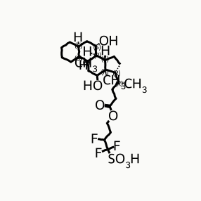 C[C@H](CCC(=O)OCCC(F)C(F)(F)S(=O)(=O)O)[C@H]1CC[C@H]2[C@@H]3[C@@H](O)C[C@@H]4CCCC[C@]4(C)[C@H]3CC(O)[C@]12C